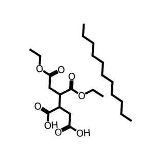 CCCCCCCCCCC.CCOC(=O)CC(C(=O)OCC)C(CC(=O)O)C(=O)O